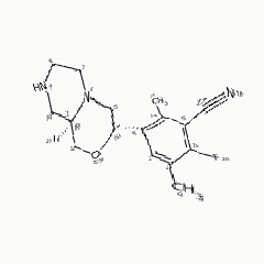 Cc1cc([C@H]2CN3CCNC[C@@H]3CO2)c(C)c(C#N)c1F